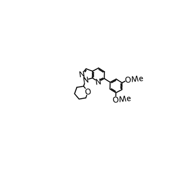 COc1cc(OC)cc(-c2ccc3cnn(C4CCCCO4)c3n2)c1